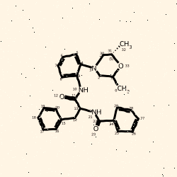 CC1CN(c2ccccc2NC(=O)C(Cc2ccccc2)NC(=O)c2ccccc2)C[C@H](C)O1